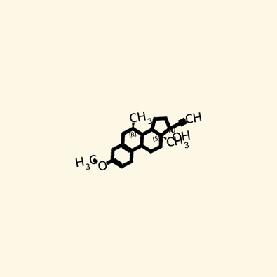 C#C[C@]1(O)CCC2C3C(CC[C@@]21C)C1=C(CC(OC)=CC1)C[C@H]3C